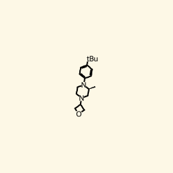 C[C@H]1CN(C2COC2)CCN1c1ccc(C(C)(C)C)cc1